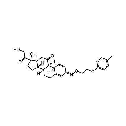 Cc1ccc(OCCO/N=C2\C=C[C@@]3(C)C(=C2)CC[C@@H]2[C@@H]3C(=O)C[C@@]3(C)[C@H]2CC[C@]3(O)C(=O)CO)cc1